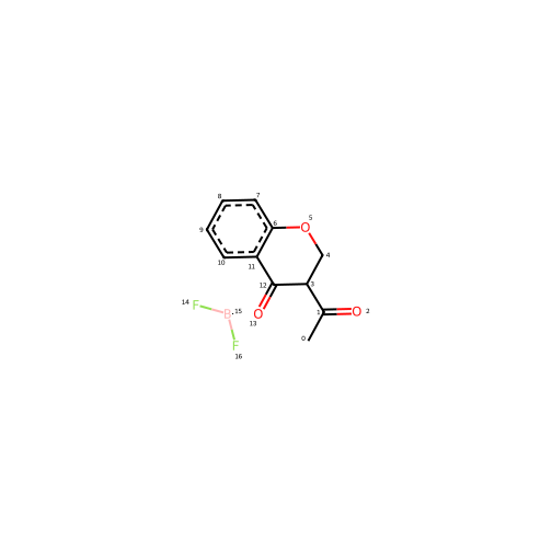 CC(=O)C1COc2ccccc2C1=O.F[B]F